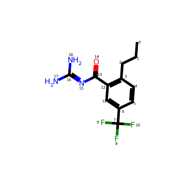 CCCc1ccc(C(F)(F)F)cc1C(=O)N=C(N)N